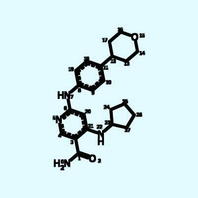 NC(=O)c1cnc(Nc2ccc(C3CCOCC3)cc2)cc1NC1CCCC1